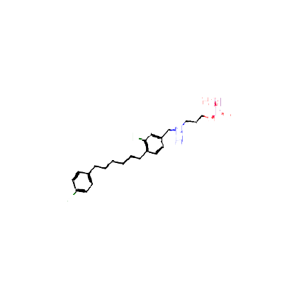 O=[PH](O)OCCCNCc1ccc(CCCCCCc2ccc(F)cc2)c(F)c1